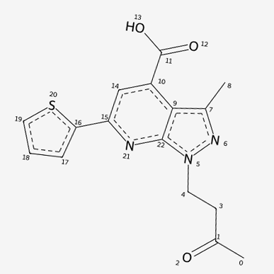 CC(=O)CCn1nc(C)c2c(C(=O)O)cc(-c3cccs3)nc21